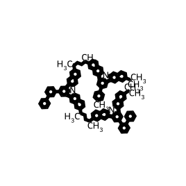 Cc1ccc(-c2cc3c4cc5cc(C(C)C)ccc5cc4n4c5cc6ccc(C(C)CCC(C)c7ccc8cc9c(cc8c7)c7cc(-c8cccc(-c%10ccccc%10)c8)cc8c%10cc%11cc(C(C)CCC(C)c%12ccc%13cc%14c(cc%13c%12)c%12cc(-c%13ccccc%13-c%13ccccc%13)cc%13c%15cc%16cc(C(C)C)ccc%16cc%15n%14c%13%12)ccc%11cc%10n9c78)cc6cc5c(c2)c34)cc1